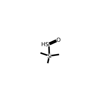 C[Si](C)(C)[SiH]=O